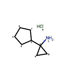 Cl.NC1(C2CCCC2)CC1